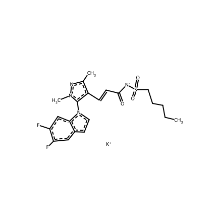 CCCCCS(=O)(=O)[N-]C(=O)/C=C/c1c(C)nn(C)c1-n1ccc2cc(F)c(F)cc21.[K+]